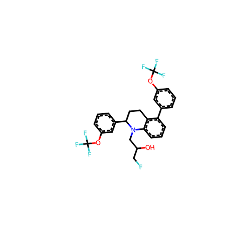 OC(CF)CN1c2cccc(-c3cccc(OC(F)(F)F)c3)c2CCC1c1cccc(OC(F)(F)F)c1